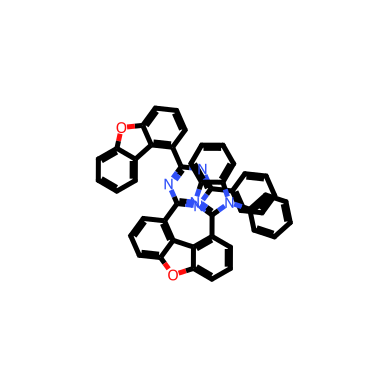 c1ccc(-c2nc(-c3cccc4oc5ccccc5c34)nc(-c3cccc4oc5cccc(-c6nc7ccccc7n6-c6ccccc6)c5c34)n2)cc1